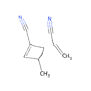 C=CC#N.CC1C=C(C#N)C1